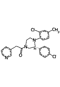 Cc1ccc(N2CCN(C(=O)Cc3cccnc3)C[C@H]2c2ccc(Cl)cc2)c(Cl)c1